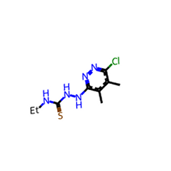 CCNC(=S)NNc1nnc(Cl)c(C)c1C